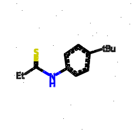 CCC(=S)Nc1ccc(C(C)(C)C)cc1